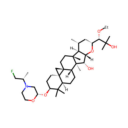 CCO[C@@H]([C@H]1C[C@@H](C)[C@H]2[C@H](O1)[C@H](O)[C@@]1(C)[C@@H]3CC[C@H]4C(C)(C)[C@@H](O[C@H]5CN([C@@H](C)CF)CCO5)CC[C@@]45C[C@@]35CC[C@]21C)C(C)(C)O